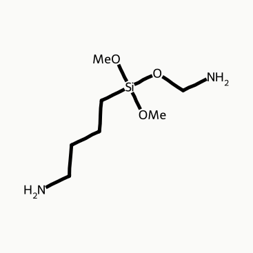 CO[Si](CCCCN)(OC)OCN